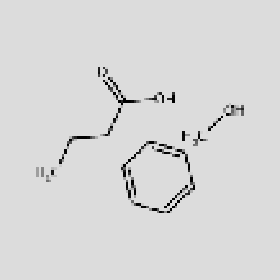 CCCC(=O)O.CO.c1ccccc1